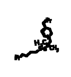 CC(C)CCCCSSC(C)(C)CN1CCC(CC(C)C)CC1